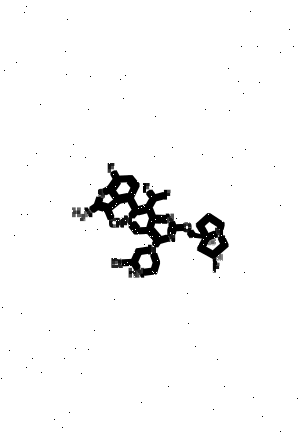 CCC1CN(c2nc(OC[C@@]34CCCN3C[C@H](F)C4)nc3c(C(F)F)c(-c4ccc(F)c5sc(N)c(C#N)c45)ncc23)CCN1